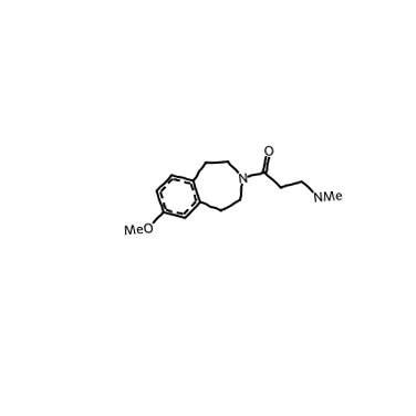 CNCCC(=O)N1CCc2ccc(OC)cc2CC1